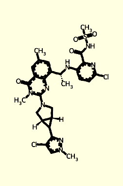 Cc1cc([C@@H](C)Nc2ccc(Cl)nc2C(=O)NS(C)(=O)=O)c2nc(N3C[C@@H]4C(c5nn(C)cc5Cl)[C@@H]4C3)n(C)c(=O)c2c1